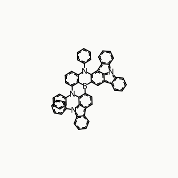 c1ccc(N2c3cccc4c3B(c3cc5c6ccccc6n6c7ccccc7c(c32)c56)c2ccc3c5ccccc5n(-c5ccccc5)c3c2N4c2ccccc2)cc1